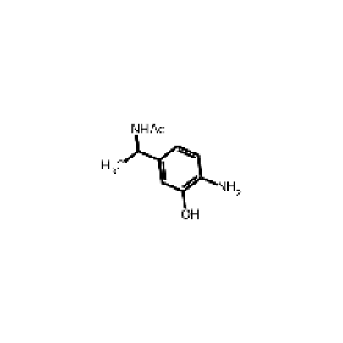 CC(=O)NC(C)c1ccc(N)c(O)c1